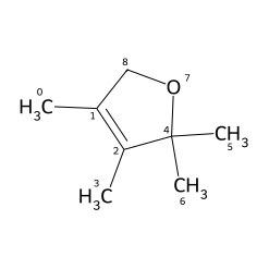 CC1=C(C)C(C)(C)OC1